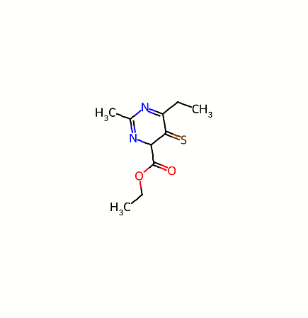 CCOC(=O)C1N=C(C)N=C(CC)C1=S